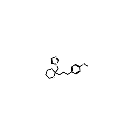 COc1ccc(CCCC2(Cn3ccnc3)SCCCS2)cc1